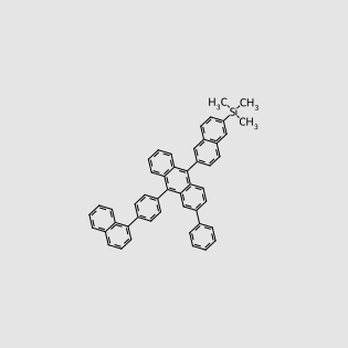 C[Si](C)(C)c1ccc2cc(-c3c4ccccc4c(-c4ccc(-c5cccc6ccccc56)cc4)c4cc(-c5ccccc5)ccc34)ccc2c1